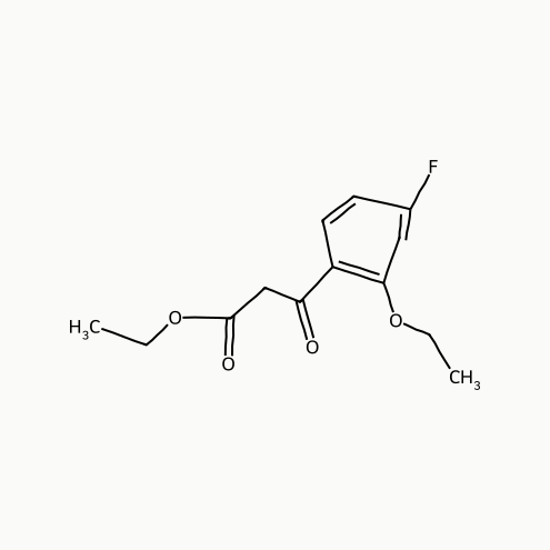 CCOC(=O)CC(=O)c1ccc(F)cc1OCC